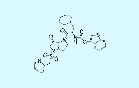 O=C(NC(CC1CCCCC1)C(=O)N1CCC2C1C(=O)CN2S(=O)(=O)Cc1ccccn1)Oc1csc2ccccc12